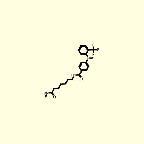 CNC(=O)CCCCCCNC(=O)c1ccc(N(C)c2ccccc2C(F)(F)F)cc1